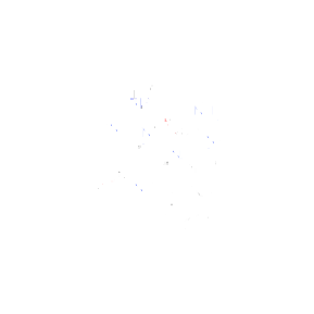 Cc1nc(N)nc2c1C(=O)N[C@@H](c1ccccc1-c1cnc(N)c(OCC(F)(F)F)n1)C2